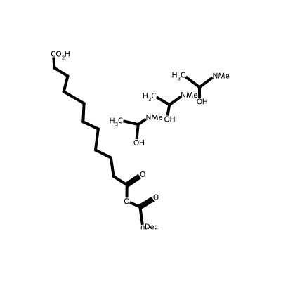 CCCCCCCCCCC(=O)OC(=O)CCCCCCCCCC(=O)O.CNC(C)O.CNC(C)O.CNC(C)O